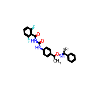 CCC/C(=N\OC(C)c1ccc(NC(=O)NC(=O)c2c(F)cccc2F)cc1)c1ccccc1